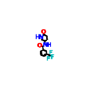 O=C(Nc1ccc(=O)[nH]c1)c1cccc(C(F)(F)F)c1